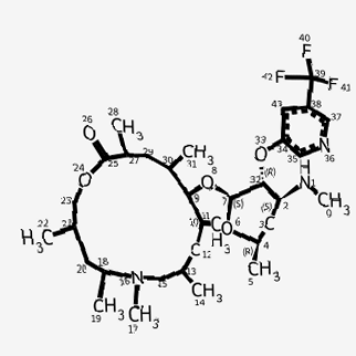 CN[C@H]1C[C@@H](C)O[C@@H](OC2C(C)CC(C)CN(C)C(C)CC(C)COC(=O)C(C)CC2C)[C@@H]1Oc1cncc(C(F)(F)F)c1